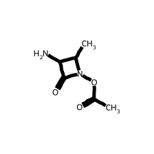 CC(=O)ON1C(=O)C(N)C1C